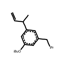 C=C[C](C)c1cc(CC(C)C)cc(OCC(C)C)c1